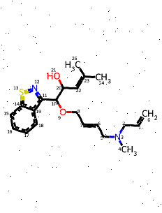 C=CCN(C)CC=CCOC(c1nsc2ccccc12)C(O)C=C(C)C